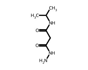 CC(C)NC(=O)CC(=O)NN